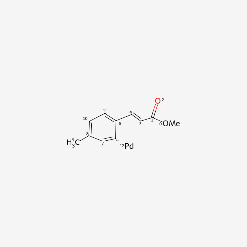 COC(=O)C=Cc1ccc(C)cc1.[Pd]